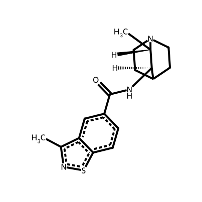 Cc1nsc2ccc(C(=O)N[C@@H]3C4CCN(CC4)[C@H]3C)cc12